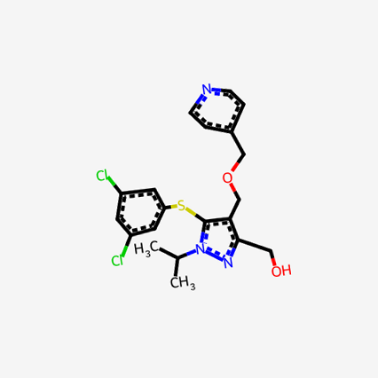 CC(C)n1nc(CO)c(COCc2ccncc2)c1Sc1cc(Cl)cc(Cl)c1